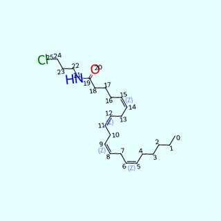 CCCCC/C=C\C/C=C\C/C=C\C/C=C\CCCC(=O)NCCCCl